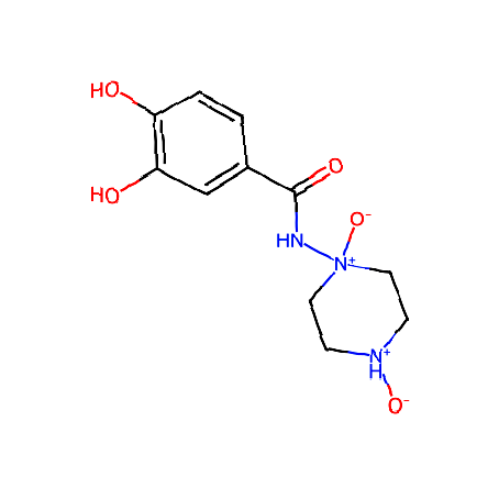 O=C(N[N+]1([O-])CC[NH+]([O-])CC1)c1ccc(O)c(O)c1